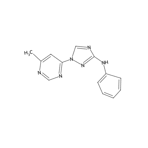 Cc1cc(-n2cnc(Nc3ccccc3)n2)ncn1